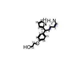 N/C=C\C=C\C(c1ccc(OCCO)cc1)c1ccc[nH]1